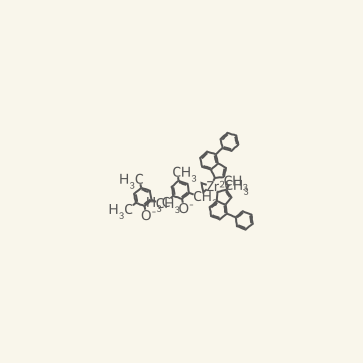 CC1=Cc2c(-c3ccccc3)cccc2[CH]1[Zr+2]1([CH]2C(C)=Cc3c(-c4ccccc4)cccc32)[CH2][CH2]1.Cc1cc(C)c([O-])c(C)c1.Cc1cc(C)c([O-])c(C)c1